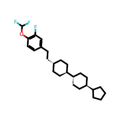 Fc1cc(CC[C@H]2CC[C@H]([C@H]3CC[C@H](C4CCCC4)CC3)CC2)ccc1OC(F)F